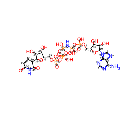 Nc1ncnc2c1ncn2[C@@H]1O[C@H](COP(=O)(O)OP(=O)(O)NP(=O)(O)OP(=O)(O)OP(=O)(O)OC[C@H]2O[C@@H](C3C=CC(=O)NC3=O)C(O)C2O)C(O)C1O